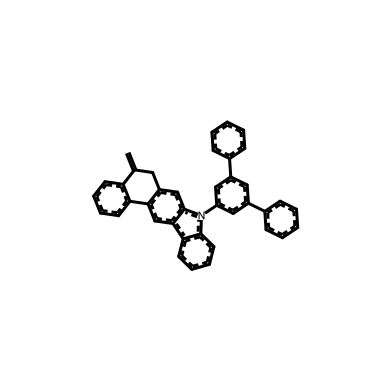 C=C1Cc2cc3c(cc2-c2ccccc21)c1ccccc1n3-c1cc(-c2ccccc2)cc(-c2ccccc2)c1